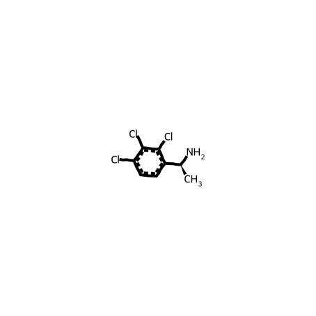 C[C@H](N)c1ccc(Cl)c(Cl)c1Cl